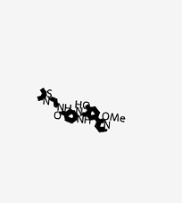 COc1ncccc1-c1ccc(O)c(-c2nc3cc(C(=O)NCCc4nc(C)c(C)s4)ccc3[nH]2)c1